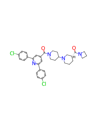 O=C(c1cc(-c2ccc(Cl)cc2)nc(-c2ccc(Cl)cc2)c1)N1CCC(N2CCC[C@@H](C(=O)N3CCC3)C2)CC1